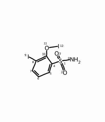 NS(=O)(=O)c1cccc(I)c1OI